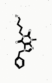 Cn1c(=O)n(CCCCBr)c(=O)c2c1ncn2Cc1ccccc1